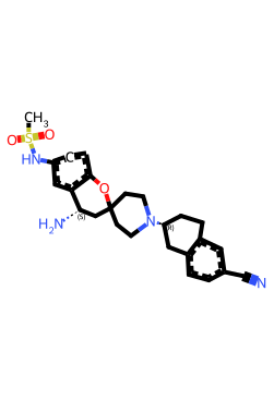 CS(=O)(=O)Nc1ccc2c(c1)[C@@H](N)CC1(CCN([C@@H]3CCc4cc(C#N)ccc4C3)CC1)O2